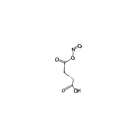 O=NOC(=O)CCC(=O)O